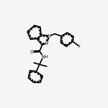 CC(C)(NC(=O)c1nn(Cc2ccc(F)cc2)c2ccccc12)c1ccccc1